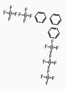 F[B-](F)(F)F.F[B-](F)(F)F.F[B-](F)(F)F.F[B-](F)(F)F.F[B-](F)(F)F.c1ccccc1.c1ccccc1.c1ccccc1